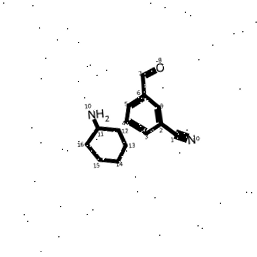 N#Cc1cccc(C=O)c1.NC1CCCCC1